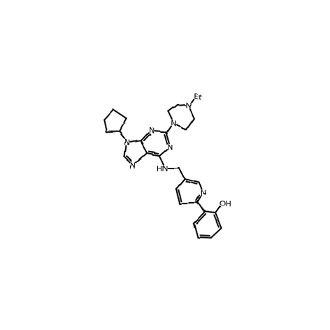 CCN1CCN(c2nc(NCc3ccc(-c4ccccc4O)nc3)c3ncn(C4CCCC4)c3n2)CC1